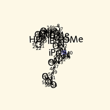 CC[C@H](C)[C@@H]([C@@H](CC(=O)N1CCC[C@H]1[C@H](OC)[C@@H](C)C(=O)N[C@@H](Cc1ccccc1)P(=O)(O)O)OC)N(C)C(=O)[C@@H](/N=C(/N(C)C)N1CCN(C(=O)CCCCCN2C(=O)C=CC2=O)CC1)C(C)C